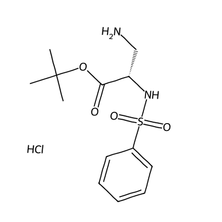 CC(C)(C)OC(=O)[C@H](CN)NS(=O)(=O)c1ccccc1.Cl